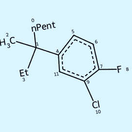 CCCCCC(C)(CC)c1ccc(F)c(Cl)c1